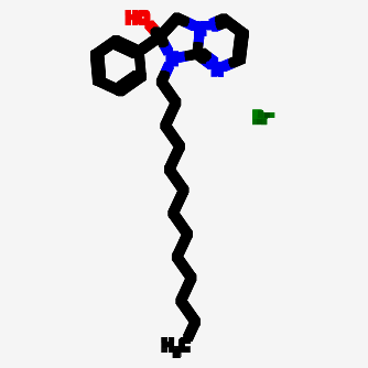 CCCCCCCCCCCCCN1c2nccc[n+]2CC1(O)c1ccccc1.[Br-]